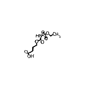 CCOS(=O)(=O)NC(=O)OCCCC(=O)O